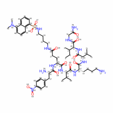 CCC(C)[C@H](NC(=O)[C@@H](NC(=O)[C@H](CCCCN)NC(=O)[C@@H](NC(=O)[C@H](CCC(=O)NCCCCNS(=O)(=O)c1cccc2c(N(C)C)cccc12)NC(=O)[C@@H](N)Cc1ccc([N+](=O)[O-])cc1)C(C)C)C(C)C)C(=O)NCC(N)=O